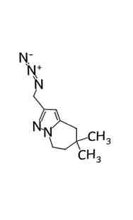 CC1(C)CCn2nc(CN=[N+]=[N-])cc2C1